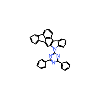 c1ccc(-c2nc(-c3ccccc3)nc(-n3c4ccccc4c4c5cccc6c5c(cc43)-c3ccccc3-6)n2)cc1